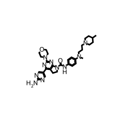 CC1CCN(CCCN(C)c2ccc(NC(=O)N3CCc4c(-c5cnc(N)nc5)nc(N5CCOCC5)nc43)cc2)CC1